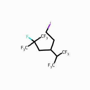 FC(F)(F)C(C(CCI)CC(F)(C(F)(F)F)C(F)(F)F)C(F)(F)F